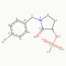 CS(=O)(=O)OC1CCN(Cc2ccc(F)cc2)C1=O